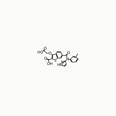 Cc1cccc(N(C(=O)c2ccc3c(OCC(=O)O)c(C(=O)O)sc3c2)c2cc[nH]n2)c1